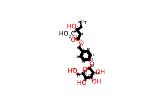 CC(C)C[C@@](O)(CC(=O)OCc1ccc(O[C@@H]2O[C@H](CO)[C@@H](O)[C@H](O)[C@H]2O)cc1)C(=O)O